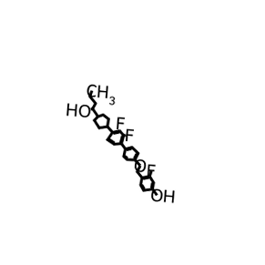 CCCC(O)C1CCC(c2ccc(-c3ccc(OCc4ccc(O)cc4F)cc3)c(F)c2F)CC1